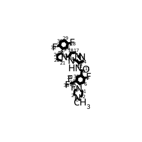 CN1CCN(c2cc(F)c(C(=O)Nc3cnn4ccc(N5CCC[C@@H]5c5cc(F)ccc5F)nc34)cc2C(F)(F)F)CC1